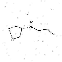 CCCN[C@H]1CCOC1